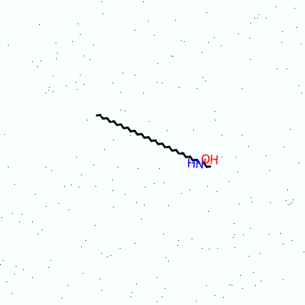 CCCCCCCCCCCCCCCCCCCCCCCCCCCCCCNC(O)CC